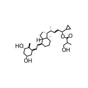 C=C1/C(=C\C=C2/CCC[C@]3(C)[C@@H]([C@H](C)/C=C/[C@H](OC(=O)C(C)CO)C4CC4)CC[C@@H]23)C[C@@H](O)C[C@@H]1O